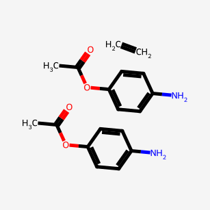 C=C.CC(=O)Oc1ccc(N)cc1.CC(=O)Oc1ccc(N)cc1